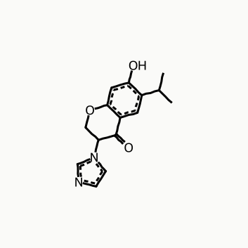 CC(C)c1cc2c(cc1O)OCC(n1ccnc1)C2=O